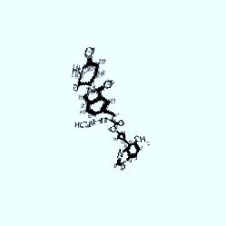 Cc1ccc2scnc2c1C1CC(OC(=O)NCc2ccc3c(c2)C(=O)N([C@H]2CCC(=O)NC2=O)C3)C1.Cl